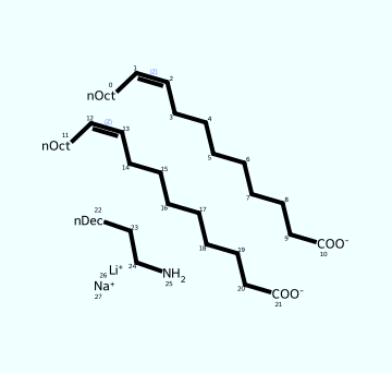 CCCCCCCC/C=C\CCCCCCCC(=O)[O-].CCCCCCCC/C=C\CCCCCCCC(=O)[O-].CCCCCCCCCCCCN.[Li+].[Na+]